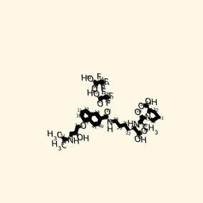 CC(C)NC[C@@H](O)COc1cccc2cc(C(=O)NCCCC[C@H](N[C@@H](C)C(=O)N3CCC[C@@H]3C(=O)O)C(=O)O)ccc12.O=C(O)C(F)(F)F.O=C(O)C(F)(F)F